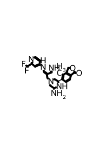 Cc1c([C@@H]2CN(C/C(C=N)=C/Nc3ccnc(C(F)F)c3)C[C@H](N)N2)ccc2c1COC2=O